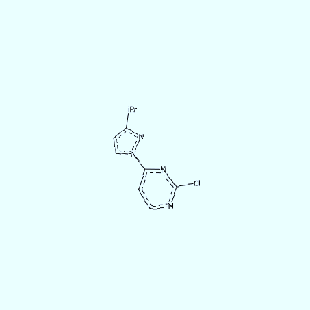 CC(C)c1ccn(-c2ccnc(Cl)n2)n1